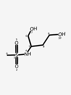 CS(=O)(=O)NC(CO)CCO